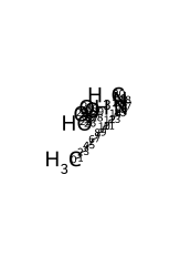 CCCCCCCCCCCCCCCCN1C=CN(C)C1.O=CO.OCc1ccoc1